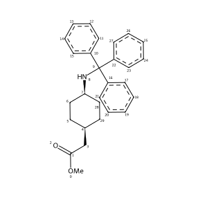 COC(=O)C[C@H]1CC[C@@H](NC(c2ccccc2)(c2ccccc2)c2ccccc2)CC1